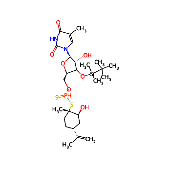 C=C(C)[C@@H]1CC[C@](C)(S[PH](=S)OC[C@H]2O[C@@H](n3cc(C)c(=O)[nH]c3=O)[C@H](O)C2O[Si](C)(C)C(C)(C)C)[C@@H](O)C1